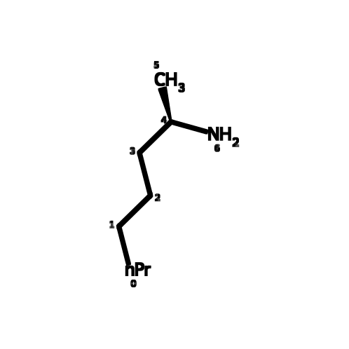 CCCCCC[C@@H](C)N